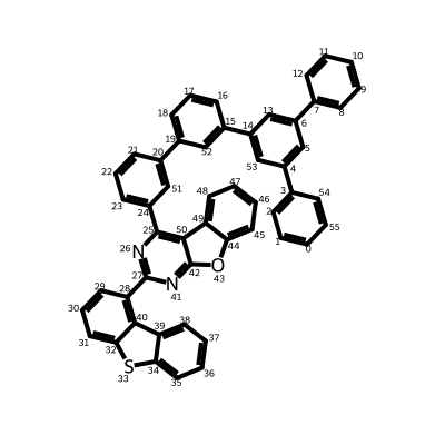 c1ccc(-c2cc(-c3ccccc3)cc(-c3cccc(-c4cccc(-c5nc(-c6cccc7sc8ccccc8c67)nc6oc7ccccc7c56)c4)c3)c2)cc1